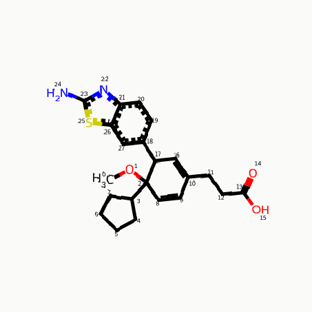 COC1(C2CCCC2)C=CC(CCC(=O)O)=CC1c1ccc2nc(N)sc2c1